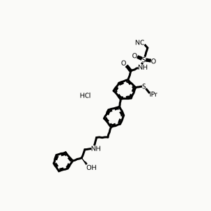 CC(C)Sc1cc(-c2ccc(CCNC[C@@H](O)c3ccccc3)cc2)ccc1C(=O)NS(=O)(=O)CC#N.Cl